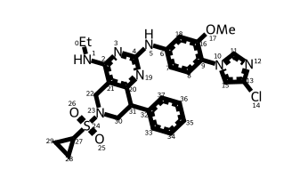 CCNc1nc(Nc2ccc(-n3cnc(Cl)c3)c(OC)c2)nc2c1CN(S(=O)(=O)C1CC1)CC2c1ccccc1